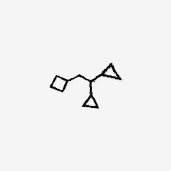 C1CC(C[C](C2CC2)C2CC2)C1